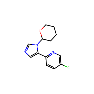 Clc1ccc(-c2cncn2C2CCCCO2)nc1